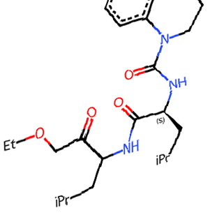 CCOCC(=O)C(CC(C)C)NC(=O)[C@H](CC(C)C)NC(=O)N1CCCc2ccccc21